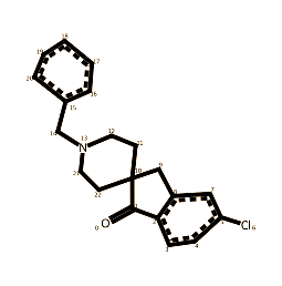 O=C1c2ccc(Cl)cc2CC12CCN(Cc1ccccc1)CC2